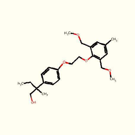 CCC(C)(CO)c1ccc(OCCOc2c(COC)cc(C)cc2COC)cc1